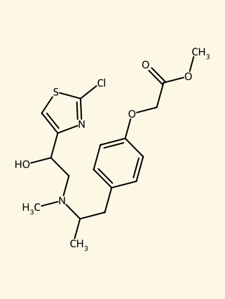 COC(=O)COc1ccc(CC(C)N(C)CC(O)c2csc(Cl)n2)cc1